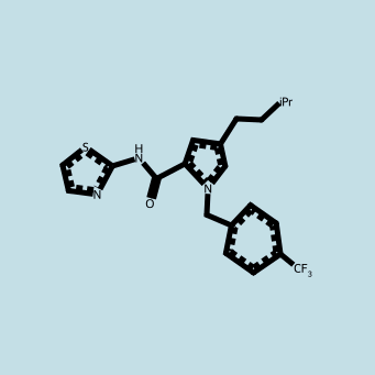 CC(C)CCc1cc(C(=O)Nc2nccs2)n(Cc2ccc(C(F)(F)F)cc2)c1